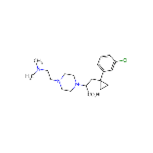 CN(C)CCN1CCN(C(CC2(c3cccc(Cl)c3)CC2)C(=O)O)CC1